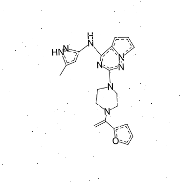 C=C(c1ccco1)N1CCN(c2nc(Nc3cc(C)[nH]n3)c3cccn3n2)CC1